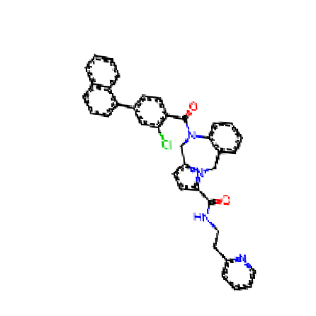 O=C(NCCc1ccccn1)c1ccc2n1Cc1ccccc1N(C(=O)c1ccc(-c3cccc4ccccc34)cc1Cl)C2